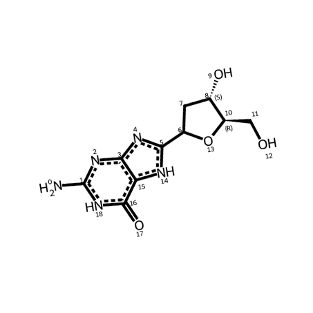 Nc1nc2nc(C3C[C@H](O)[C@@H](CO)O3)[nH]c2c(=O)[nH]1